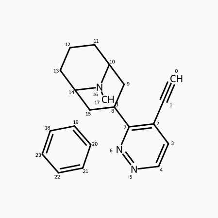 C#Cc1ccnnc1C1CC2CCCC(C1)N2C.c1ccccc1